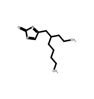 CCCCCC(CCC)CC1=NC(=O)N=C1